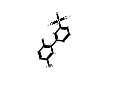 CCCc1ccc(C)c(-c2cccc(S(C)(=O)=O)c2)c1